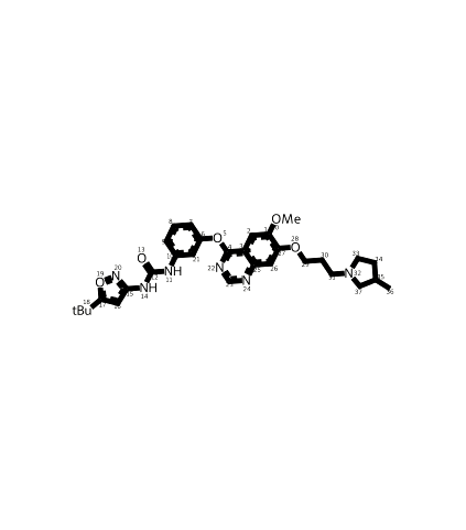 COc1cc2c(Oc3cccc(NC(=O)Nc4cc(C(C)(C)C)on4)c3)ncnc2cc1OCCCN1CCC(C)C1